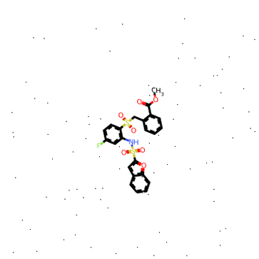 COC(=O)c1ccccc1CS(=O)(=O)c1ccc(F)cc1NS(=O)(=O)c1cc2ccccc2o1